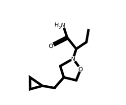 CCC(C(N)=O)N1CC(CC2CC2)CO1